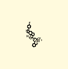 C[C@]12Cc3cnn(-c4ccc(F)cc4)c3C=C1CC[C@@H]2C(=O)N(CCc1ccccc1F)CC(O)C(F)(F)F